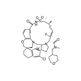 C[C@@H]1[C@@H](C)C/C=C(\F)[C@H](C(=O)N(C)CC2CCOCC2)N2CCC[C@H]2CN2C[C@@]3(CCCc4cc(Cl)ccc43)COc3ccc(cc32)C(=O)NS1(=O)=O